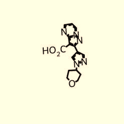 O=C(O)c1c(-c2cnn(C3CCOCC3)c2)nn2cccnc12